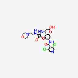 O=C(O)CC(Nc1c(NCCN2CCOCC2)c(=O)c1=O)c1ccc(NC(=O)c2c(Cl)cncc2Cl)cc1